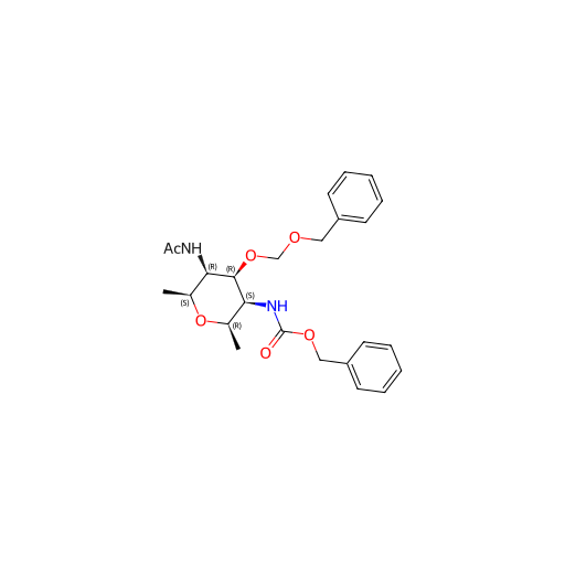 CC(=O)N[C@H]1[C@@H](OCOCc2ccccc2)[C@@H](NC(=O)OCc2ccccc2)[C@@H](C)O[C@H]1C